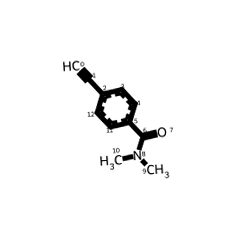 C#Cc1ccc(C(=O)N(C)C)cc1